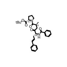 C[C@@H](CC(=O)[C@@H](CC=Cc1ccccc1)NC(=O)c1ccccc1)C(=O)N1CCC[C@H]1C(=O)OC(C)(C)C